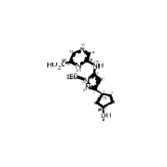 CC(C)(C)n1nc([C@H]2CC[C@@H](O)C2)cc1Nc1cncc(C(=O)O)n1